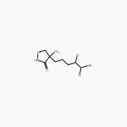 CCCC(Cl)C(Cl)CCCC1(C)CSNC1=O